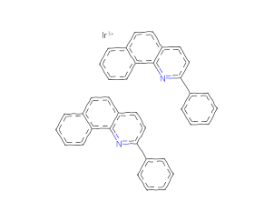 [Ir+3].c1ccc(-c2ccc3ccc4ccccc4c3n2)cc1.c1ccc(-c2ccc3ccc4ccccc4c3n2)cc1